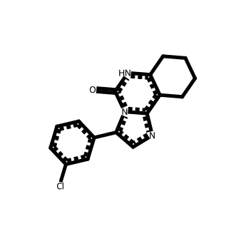 O=c1[nH]c2c(c3ncc(-c4cccc(Cl)c4)n13)CCCC2